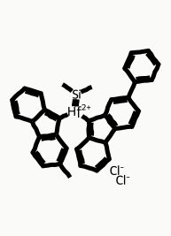 Cc1ccc2c(c1)[C]([Hf+2]([C]1=C3C=CC=CC3c3ccc(-c4ccccc4)cc31)=[Si](C)C)=C1C=CC=CC12.[Cl-].[Cl-]